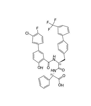 O=C(N[C@@H](Cc1ccc(-c2cccc(C(F)(F)F)c2)cc1)C(=O)N[C@H](C(=O)O)c1ccccc1)c1cc(-c2ccc(F)c(Cl)c2)ccc1O